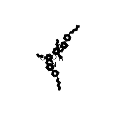 CCCCCC[C@H]1CC[C@H](c2ccc(Cc3c(OCCC)ccc(Oc4ccc(OCCC)c(Cc5ccc([C@H]6CC[C@H](CCCCCC)CC6)cc5)c4C#N)c3C#N)cc2)CC1